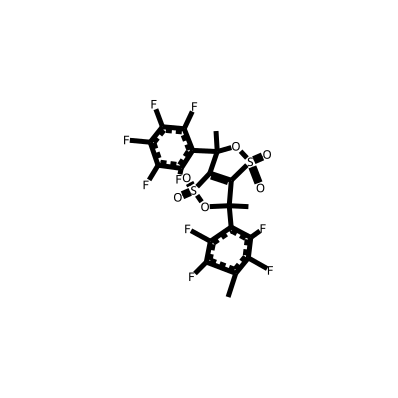 Cc1c(F)c(F)c(C2(C)OS(=O)(=O)C3=C2S(=O)(=O)OC3(C)c2c(F)c(F)c(F)c(F)c2F)c(F)c1F